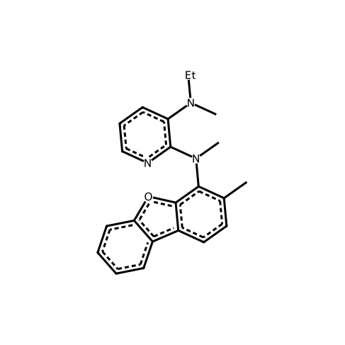 CCN(C)c1cccnc1N(C)c1c(C)ccc2c1oc1ccccc12